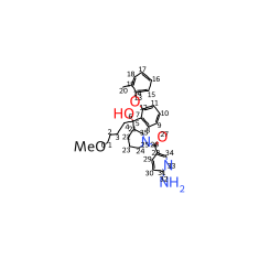 COCCCCC(O)(c1ccccc1Oc1ccccc1C)C1CCCN(C(=O)c2ccc(N)nc2)C1